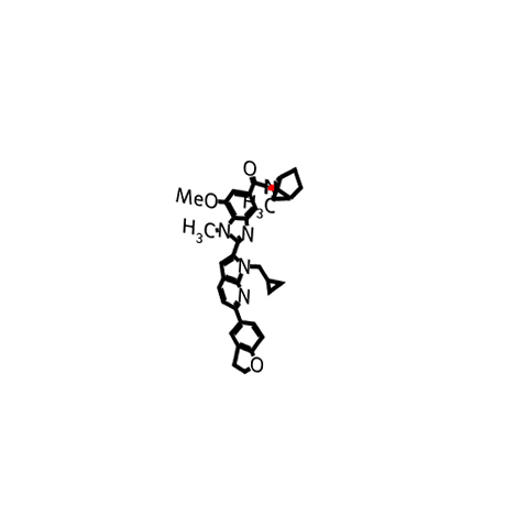 COc1cc(C(=O)N2CC3CCC2[C@@H]3C)cc2nc(-c3cc4ccc(-c5ccc6c(c5)CCO6)nc4n3CC3CC3)n(C)c12